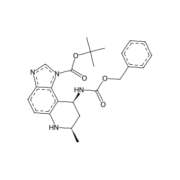 C[C@@H]1C[C@H](NC(=O)OCc2ccccc2)c2c(ccc3ncn(C(=O)OC(C)(C)C)c23)N1